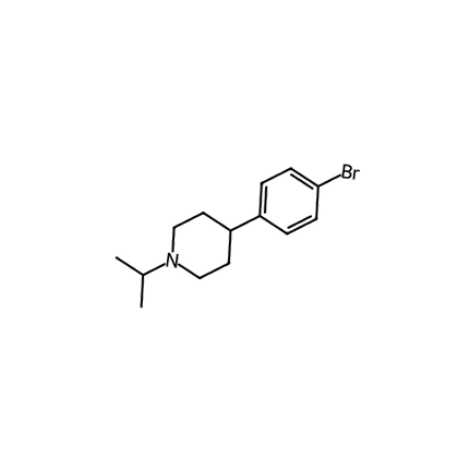 CC(C)N1CCC(c2ccc(Br)cc2)CC1